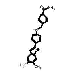 Cc1cc2nc(-c3ccc(NCc4ccc(C(N)=O)cc4)cc3)[nH]c2cc1C